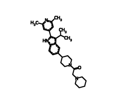 Cc1cc(-c2[nH]c3ccc(C4CCN(C(=O)CN5CCCCC5)CC4)cc3c2C(C)C)cc(C)n1